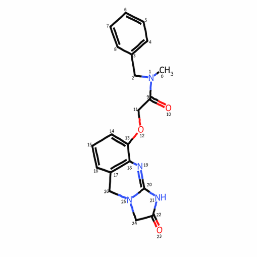 CN(Cc1ccccc1)C(=O)COc1cccc2c1N=C1NC(=O)CN1C2